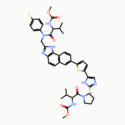 COC(=O)NC(C(=O)N(Cc1nc2ccc3cc(-c4ccc(-c5cnc([C@@H]6CCCN6C(=O)C(NC(=O)OC)C(C)C)[nH]5)s4)ccc3c2[nH]1)c1ccc(F)cc1)C(C)C